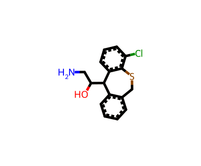 NCC(O)C1c2ccccc2CSc2c(Cl)cccc21